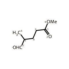 COC(=O)CCC(C)[C]=O